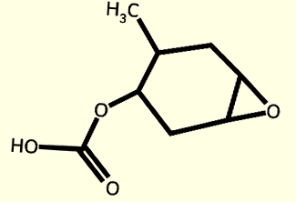 CC1CC2OC2CC1OC(=O)O